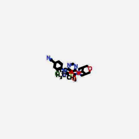 CC(C)(C)OC(=O)N1CC2COCC(C1)C2Oc1ncnc(Nc2ccc(C#N)cc2Cl)c1F